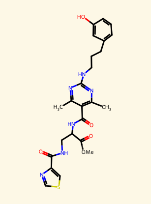 COC(=O)C(CNC(=O)c1cscn1)NC(=O)c1c(C)nc(NCCCc2cccc(O)c2)nc1C